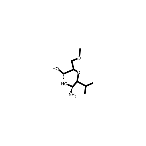 COCC(OC(C(C)C)[C@@H](N)O)[C@H](C)O